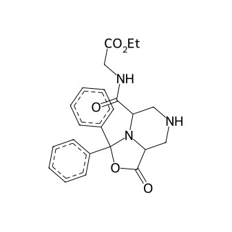 CCOC(=O)CNC(=O)C1CNCC2C(=O)OC(c3ccccc3)(c3ccccc3)N12